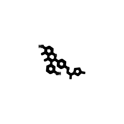 CC1=C(c2cccc(O)c2)C(c2ccc(OCC(C)N3CCC(C)C3)cc2)Oc2ccc(O)c(C)c21